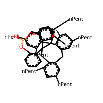 CCCCCc1cc(CCCCC)c2c(c1)Cc1cc(CCCCC)cc(CCCCC)c1C1(c3c(CCCCC)cc(CCCCC)cc3Cc3cc(CCCCC)cc(CCCCC)c31)C1(C2)c2ccccc2OP(O)Oc2ccccc21